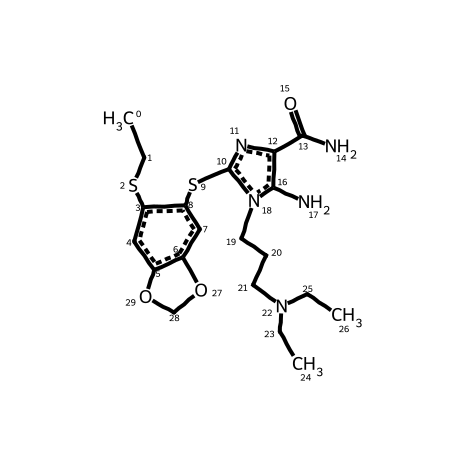 CCSc1cc2c(cc1Sc1nc(C(N)=O)c(N)n1CCCN(CC)CC)OCO2